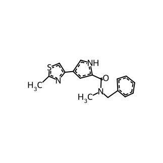 Cc1nc(-c2c[nH]c(C(=O)N(C)Cc3ccccc3)c2)cs1